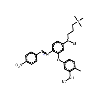 CCNc1cc(Oc2cc(N(CC)CCC[N+](C)(C)C)ccc2/N=N/c2ccc([N+](=O)[O-])cc2)ccc1C